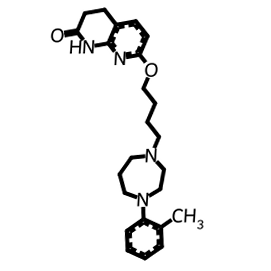 Cc1ccccc1N1CCCN(CCCCOc2ccc3c(n2)NC(=O)CC3)CC1